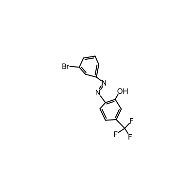 Oc1cc(C(F)(F)F)ccc1/N=N/c1cccc(Br)c1